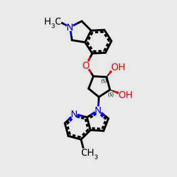 Cc1ccnc2c1ccn2C1CC(Oc2cccc3c2CN(C)C3)[C@@H](O)[C@H]1O